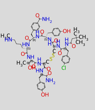 CNCCCC[C@@H]1NC(=O)[C@@H](Cc2ccc(C(N)=O)cc2)NC(=O)[C@H](Cc2ccc(O)cc2)NC(=O)[C@H](NC(=O)[C@H](Cc2ccc(Cl)cc2)NC(=O)CC(C)(C)C)CSSC[C@@H](C(=O)N[C@H](Cc2ccc(O)cc2)C(N)=O)NC(=O)[C@H]([C@@H](C)O)NC1=O